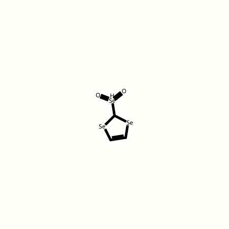 O=[SeH](=O)C1[Se]C=C[Se]1